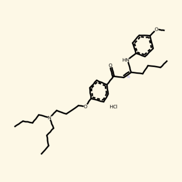 CCCC/C(=C/C(=O)c1ccc(OCCCN(CCCC)CCCC)cc1)Nc1ccc(OC)cc1.Cl